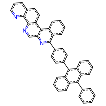 c1ccc(-c2c3ccccc3c(-c3ccc(-c4nc5cnc6c(ccc7cccnc76)c5c5ccccc45)cc3)c3ccccc23)cc1